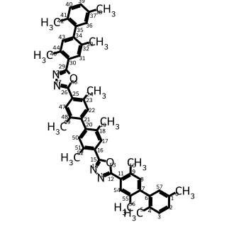 Cc1ccc(C)c(-c2cc(C)c(-c3nnc(-c4cc(C)c(-c5cc(C)c(-c6nnc(-c7cc(C)c(-c8cc(C)ccc8C)cc7C)o6)cc5C)cc4C)o3)cc2C)c1